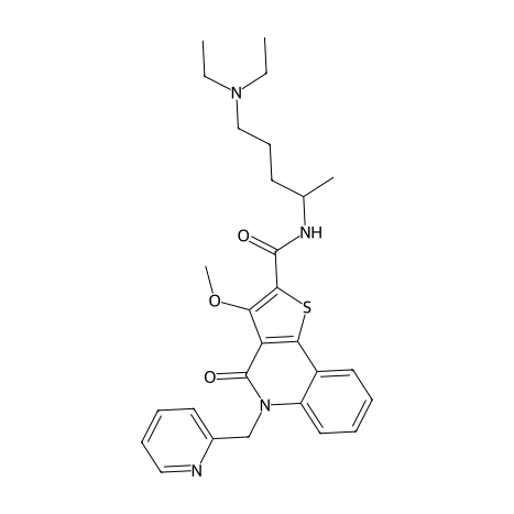 CCN(CC)CCCC(C)NC(=O)c1sc2c(c1OC)c(=O)n(Cc1ccccn1)c1ccccc21